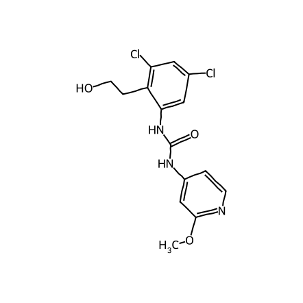 COc1cc(NC(=O)Nc2cc(Cl)cc(Cl)c2CCO)ccn1